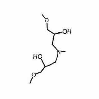 COCC(O)CN(C)CC(O)COC